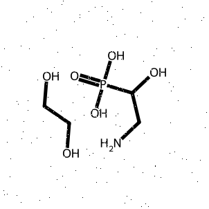 NCC(O)P(=O)(O)O.OCCO